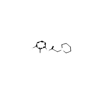 Cc1c(N)cccc1NC(=O)CN1CCCCC1